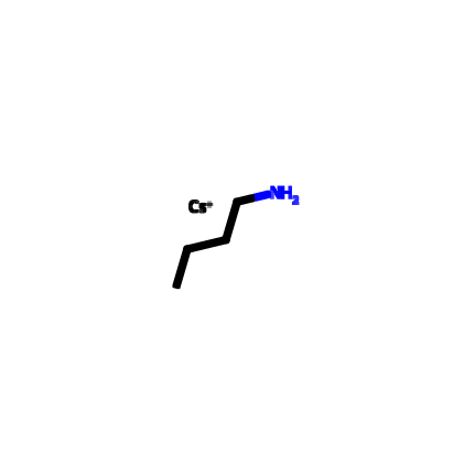 CCCCN.[Cs+]